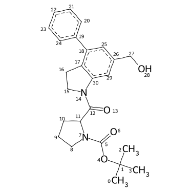 CC(C)(C)OC(=O)N1CCCC1C(=O)N1CCc2c(-c3ccccc3)cc(CO)cc21